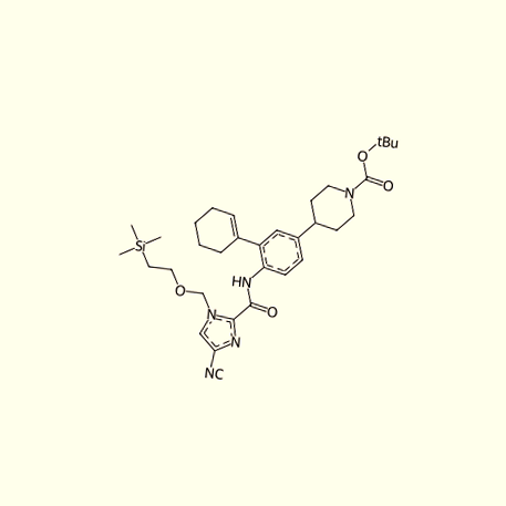 [C-]#[N+]c1cn(COCC[Si](C)(C)C)c(C(=O)Nc2ccc(C3CCN(C(=O)OC(C)(C)C)CC3)cc2C2=CCCCC2)n1